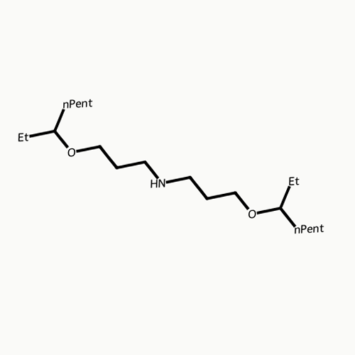 CCCCCC(CC)OCCCNCCCOC(CC)CCCCC